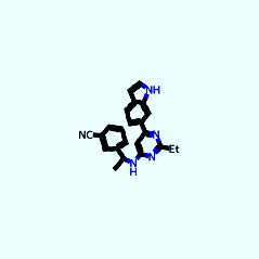 CCc1nc(NC(C)c2cccc(C#N)c2)cc(-c2ccc3cc[nH]c3c2)n1